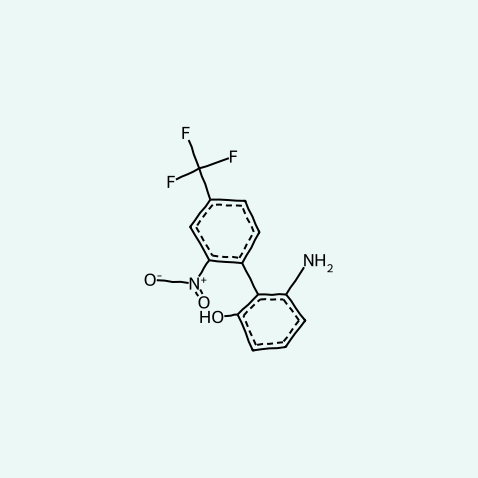 Nc1cccc(O)c1-c1ccc(C(F)(F)F)cc1[N+](=O)[O-]